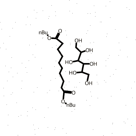 CCCCOC(=O)CCCCCCCCC(=O)OCCCC.OCC(O)C(O)C(O)C(O)CO